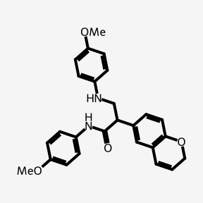 COc1ccc(NCC(C(=O)Nc2ccc(OC)cc2)c2ccc3c(c2)C=CCO3)cc1